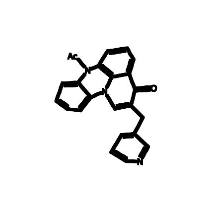 CC(=O)N1c2ccccc2-n2cc(Cc3cccnc3)c(=O)c3cccc1c32